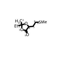 CCC1(C)OC(=O)C(CCSC)O1